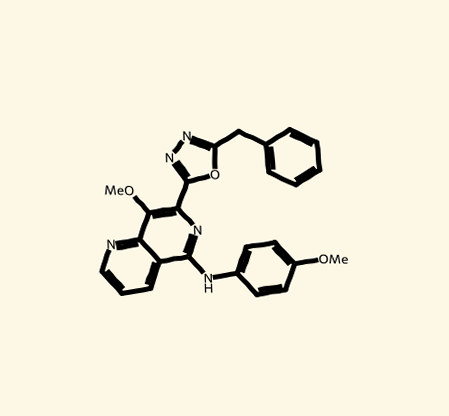 COc1ccc(Nc2nc(-c3nnc(Cc4ccccc4)o3)c(OC)c3ncccc23)cc1